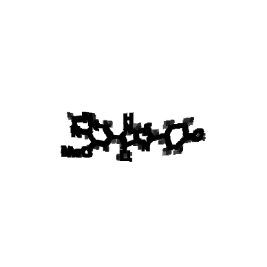 CCc1c(-c2cc(OC)c3ncnn3c2)[nH]c2sc(C3CCC(=O)CC3)nc12